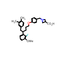 COc1cccc(C(CCCOc2ccc(CN3CC(C(=O)O)C3)cc2)Cc2ccc(C)c(C)c2)c1F